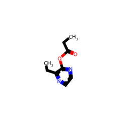 CCC(=O)Oc1nccnc1CC